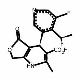 CC1=C(C(=O)O)[C@H](c2cncc(F)c2[C@@H](C)F)C2=C(COC2=O)N1